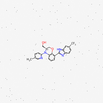 Cc1ccc(N2c3cccc(-c4nc5ccc(C(F)(F)F)cc5[nH]4)c3OC[C@@H]2CO)nc1